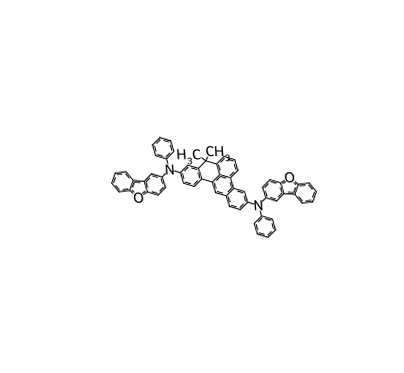 CC1(C)c2cc(N(c3ccccc3)c3ccc4oc5ccccc5c4c3)ccc2-c2cc3ccc(N(c4ccccc4)c4ccc5oc6ccccc6c5c4)cc3c3cccc1c23